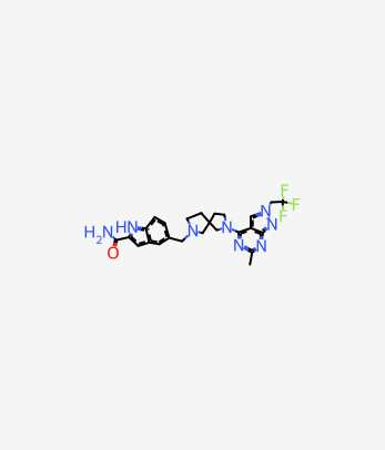 Cc1nc(N2CCC3(CCN(Cc4ccc5[nH]c(C(N)=O)cc5c4)C3)C2)c2cn(CC(F)(F)F)nc2n1